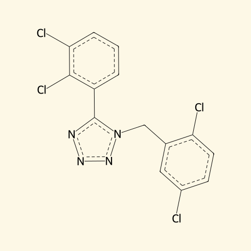 Clc1ccc(Cl)c(Cn2nnnc2-c2cccc(Cl)c2Cl)c1